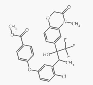 COC(=O)c1ccc(Oc2ccc(Cl)c(C(C)C(O)(c3ccc4c(c3)N(C)C(=O)CO4)C(F)(F)F)c2)cc1